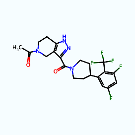 CC(=O)N1CCc2[nH]nc(C(=O)N3CCC(c4cc(F)cc(F)c4C(F)(F)F)CC3)c2C1